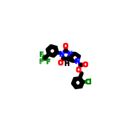 O=C1[C@H]2C3CC(CN3C(=O)OCc3ccccc3Cl)N2C(=O)N1c1cccc(C(F)(F)F)c1